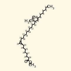 CCCCCCCCCC(CCCCCCCCCCC1CC1CCCCCCCC(=O)OC)N(C)C